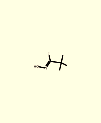 CC(C)(C)/C(Cl)=N/O